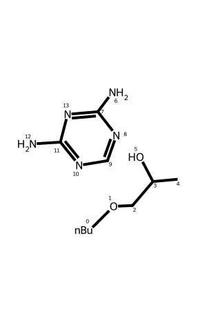 CCCCOCC(C)O.Nc1ncnc(N)n1